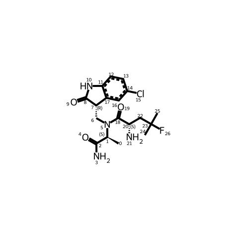 C[C@@H](C(N)=O)N(C[C@@H]1C(=O)Nc2ccc(Cl)cc21)C(=O)[C@@H](N)CC(C)(C)F